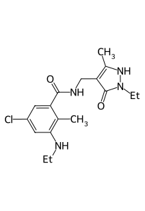 CCNc1cc(Cl)cc(C(=O)NCc2c(C)[nH]n(CC)c2=O)c1C